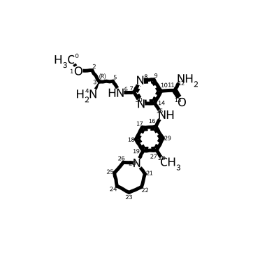 COC[C@H](N)CNc1ncc(C(N)=O)c(Nc2ccc(N3CCCCCC3)c(C)c2)n1